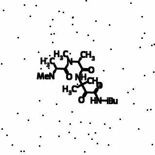 CCC(C)NC(=O)C(=O)C(C)(C)NC(=O)[C@H](C)N(C)C(=O)[C@H](C)NC